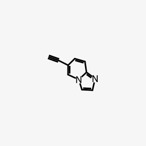 C#Cc1ccc2nccn2c1